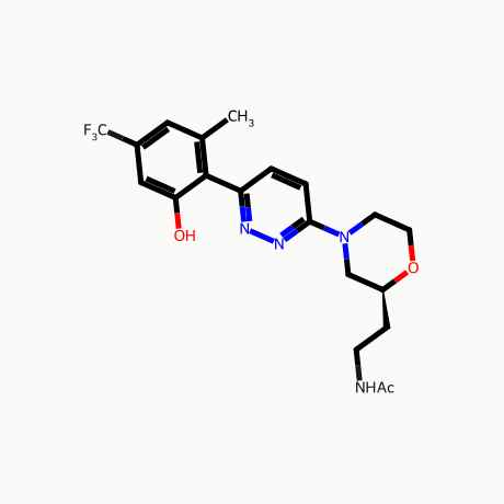 CC(=O)NCC[C@H]1CN(c2ccc(-c3c(C)cc(C(F)(F)F)cc3O)nn2)CCO1